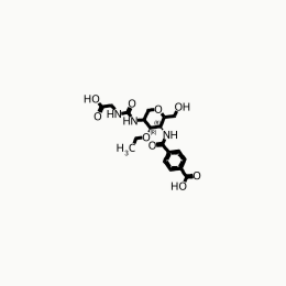 CCO[C@@H]1C(NC(=O)NCC(=O)O)COC(CO)[C@@H]1NC(=O)c1ccc(C(=O)O)cc1